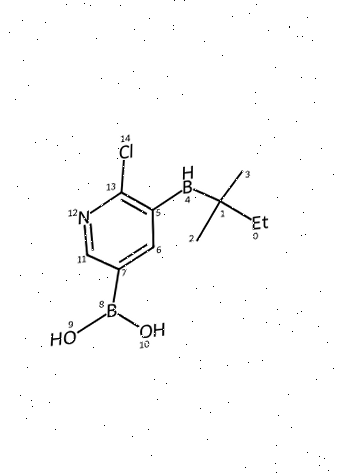 CCC(C)(C)Bc1cc(B(O)O)cnc1Cl